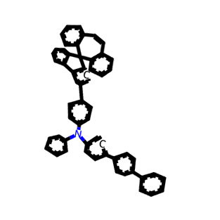 C1=Cc2ccccc2C2(c3ccccc31)c1ccccc1-c1cc(-c3ccc(N(c4ccccc4)c4ccc(-c5ccc(-c6ccccc6)cc5)cc4)cc3)ccc12